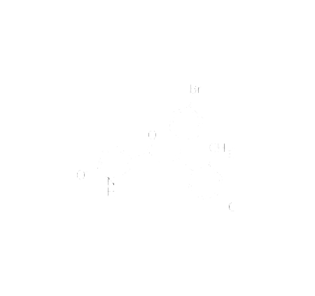 Cc1cc(Cl)ccc1C(CC(=O)c1ccc(=O)[nH]c1)c1ccc(Br)cc1